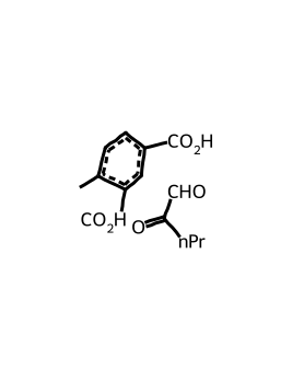 CCCC(=O)C=O.Cc1ccc(C(=O)O)cc1C(=O)O